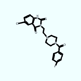 O=C(c1ccc(F)cc1)N1CCN(CCn2c(=S)[nH]c3ccc(Cl)cc3c2=O)CC1